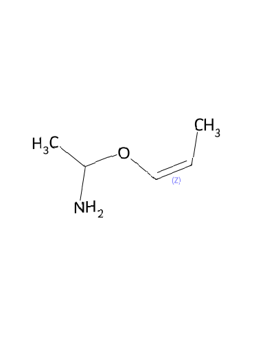 C/C=C\OC(C)N